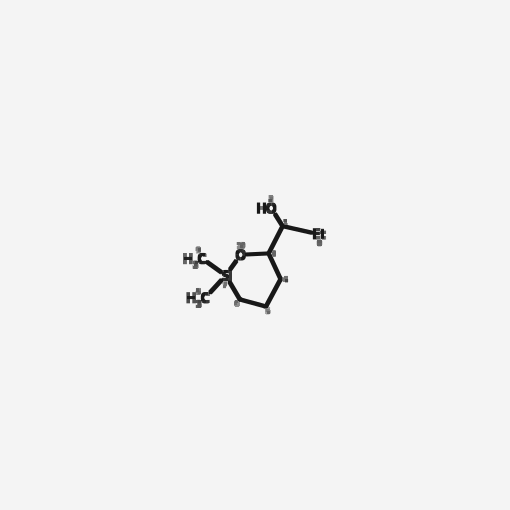 CCC(O)C1CCC[Si](C)(C)O1